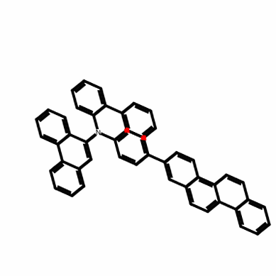 c1ccc(-c2ccccc2N(c2ccc(-c3ccc4c(ccc5c6ccccc6ccc45)c3)cc2)c2cc3ccccc3c3ccccc23)cc1